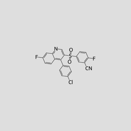 N#Cc1cc(S(=O)(=O)c2cnc3cc(F)ccc3c2-c2ccc(Cl)cc2)ccc1F